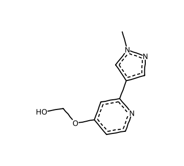 Cn1cc(-c2cc(OCO)ccn2)cn1